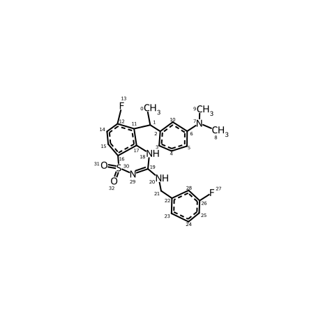 CC(c1cccc(N(C)C)c1)c1c(F)ccc2c1NC(NCc1cccc(F)c1)=NS2(=O)=O